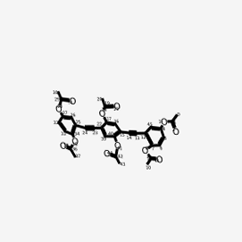 CC(=O)Oc1ccc(OC(C)=O)c(C#Cc2cc(OC(C)=O)c(C#Cc3cc(OC(C)=O)ccc3OC(C)=O)cc2OC(C)=O)c1